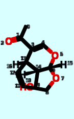 CC(=O)C1=CO[C@@H]2OC[C@]3(O)C=C[C@H]1[C@H]23